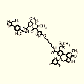 Cc1ncsc1-c1ccc([C@]2(C)NC(C3C[C@@H](O)CN3C(=O)C(c3cc(OCCCCCNC(=O)c4cc5c(cc4CS(C)(=O)=O)-c4cn(C)c(=O)c6[nH]cc(c46)CN5c4ncc(F)cc4F)no3)C(C)C)=NO2)cc1